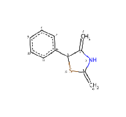 C=C1NC(=C)C(c2ccccc2)S1